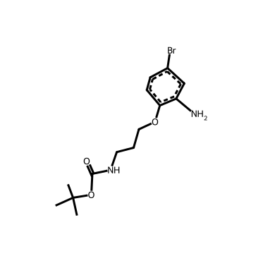 CC(C)(C)OC(=O)NCCCOc1ccc(Br)cc1N